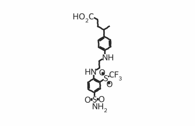 CC(CCC(=O)O)c1ccc(NCCNc2ccc(S(N)(=O)=O)cc2S(=O)(=O)C(F)(F)F)cc1